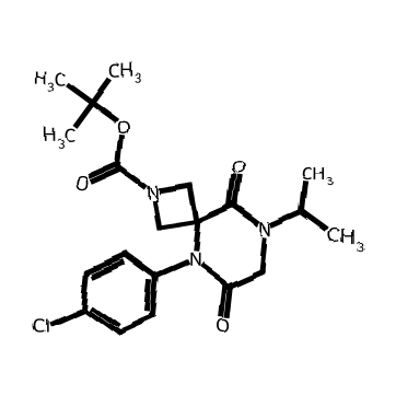 CC(C)N1CC(=O)N(c2ccc(Cl)cc2)C2(CN(C(=O)OC(C)(C)C)C2)C1=O